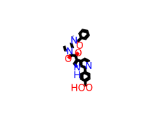 CCN(CCN(C)C(=O)C1C=CC=CC1)C(=O)C(=O)c1c[nH]c2c(-c3ccc(C(=O)O)cc3)nccc12